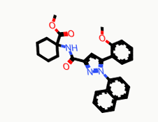 COC(=O)C1(NC(=O)c2cc(-c3ccccc3OC)n(-c3cccc4ccccc34)n2)CCCCC1